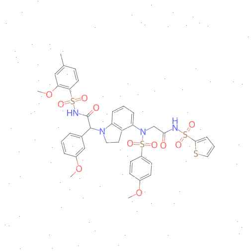 COc1ccc(S(=O)(=O)N(CC(=O)NS(=O)(=O)c2cccs2)c2cccc3c2CCN3C(C(=O)NS(=O)(=O)c2ccc(C)cc2OC)c2cccc(OC)c2)cc1